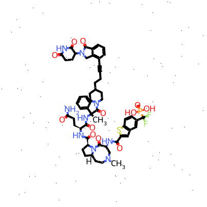 CN1CC[C@H]2CC[C@@H](C(=O)N[C@@H](CCC(N)=O)C(=O)NC(C)(C(=O)N3CCC(CCC#Cc4cccc5c4CN(C4CCC(=O)NC4=O)C5=O)CC3)c3ccccc3)N2C(=O)[C@@H](NC(=O)c2cc3cc(C(F)(F)P(=O)(O)O)ccc3s2)C1